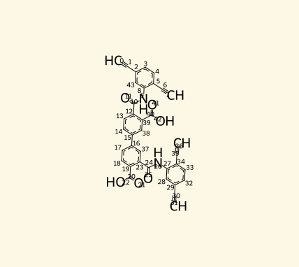 C#Cc1ccc(C#C)c(NC(=O)c2ccc(-c3ccc(C(=O)O)c(C(=O)Nc4cc(C#C)ccc4C#C)c3)cc2C(=O)O)c1